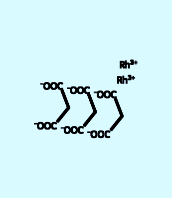 O=C([O-])CC(=O)[O-].O=C([O-])CC(=O)[O-].O=C([O-])CC(=O)[O-].[Rh+3].[Rh+3]